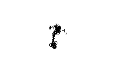 CC(C)N(CCC(C(N)=O)(c1ccc(OCCCCCCN2C(=O)c3ccccc3C2=O)cc1)c1ccccn1)C(C)C